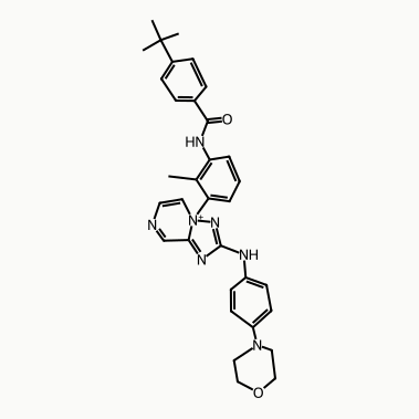 Cc1c(NC(=O)c2ccc(C(C)(C)C)cc2)cccc1[N+]12C=CN=CC1=NC(Nc1ccc(N3CCOCC3)cc1)=N2